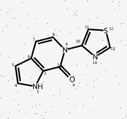 O=c1c2[nH]ccc2ccn1-c1cscn1